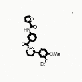 CCOc1cc(C2=NN(C(=O)c3cccc(NC(=O)c4ccco4)c3)CCC2)ccc1OC